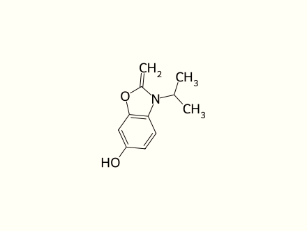 C=C1Oc2cc(O)ccc2N1C(C)C